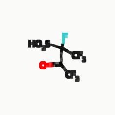 O=C(C(F)(F)F)C(F)(C(F)(F)F)S(=O)(=O)O